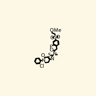 COCCS(=O)(=O)c1ccc(CC(=O)N(C)c2nc3c(s2)C(=O)N(c2ccccc2Cl)CC3)c(F)c1